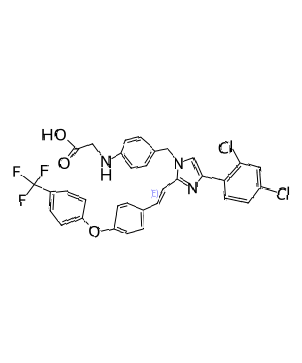 O=C(O)CNc1ccc(Cn2cc(-c3ccc(Cl)cc3Cl)nc2/C=C/c2ccc(Oc3ccc(C(F)(F)F)cc3)cc2)cc1